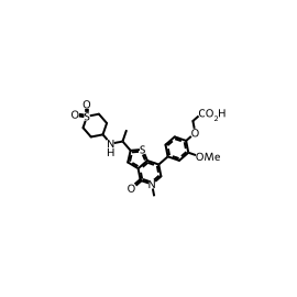 COc1cc(-c2cn(C)c(=O)c3cc(C(C)NC4CCS(=O)(=O)CC4)sc23)ccc1OCC(=O)O